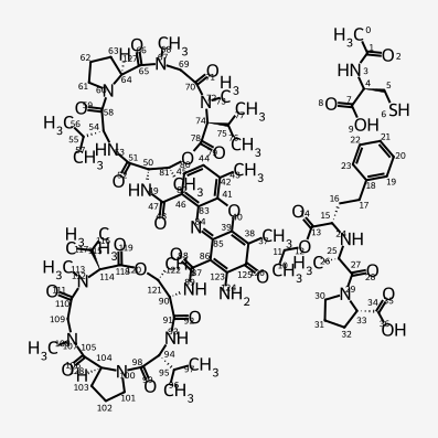 CC(=O)N[C@@H](CS)C(=O)O.CCOC(=O)[C@H](CCc1ccccc1)N[C@@H](C)C(=O)N1CCC[C@H]1C(=O)O.Cc1c2oc3c(C)ccc(C(=O)N[C@@H]4C(=O)N[C@H](C(C)C)C(=O)N5CCC[C@H]5C(=O)N(C)CC(=O)N(C)[C@@H](C(C)C)C(=O)O[C@@H]4C)c3nc-2c(C(=O)N[C@@H]2C(=O)N[C@H](C(C)C)C(=O)N3CCC[C@H]3C(=O)N(C)CC(=O)N(C)[C@@H](C(C)C)C(=O)O[C@@H]2C)c(N)c1=O